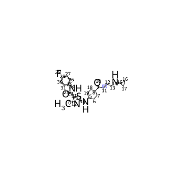 Cc1nc(NC2CCC(C(=O)/C=C/CNC3CC3)CC2)sc1C(=O)Nc1ccc(F)cc1